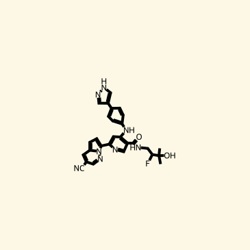 CC(C)(O)C(F)CNC(=O)c1cnc(-c2ccc3cc(C#N)cnn23)cc1Nc1ccc(-c2cn[nH]c2)cc1